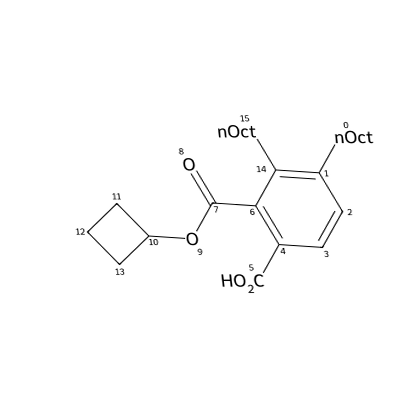 CCCCCCCCc1ccc(C(=O)O)c(C(=O)OC2CCC2)c1CCCCCCCC